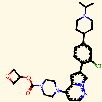 CC(C)N1CCC(c2ccc(-c3cc4c(N5CCN(C(=O)OC6COC6)CC5)ccnn4c3)c(Cl)c2)CC1